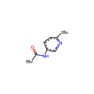 CC(C)(C)C(=O)Nc1ccc(C(C)(C)C)nc1